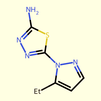 CCc1ccnn1-c1nnc(N)s1